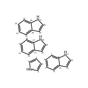 c1cc[nH]c1.c1ccc2[nH]ccc2c1.c1ccc2[nH]ccc2c1.c1ccc2[nH]ccc2c1